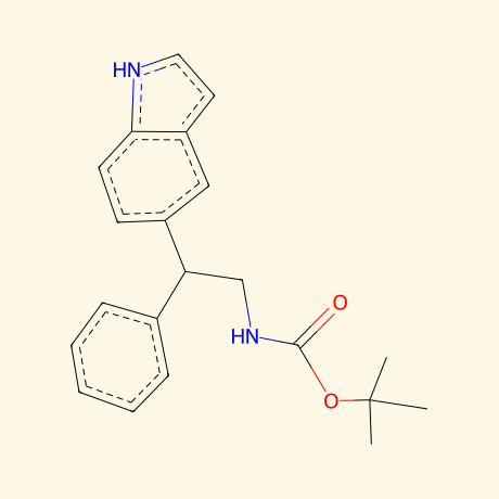 CC(C)(C)OC(=O)NCC(c1ccccc1)c1ccc2[nH]ccc2c1